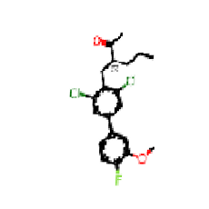 CCC[C@@H](Cc1c(Cl)cc(-c2ccc(F)c(OC)c2)cc1Cl)C(C)=O